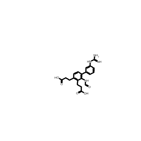 N=C(N)Nc1cccc(-c2ccc(CCC(=O)O)c(CCC(=O)O)c2NC=O)c1